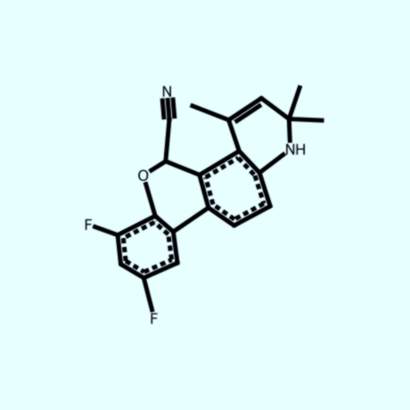 CC1=CC(C)(C)Nc2ccc3c(c21)C(C#N)Oc1c(F)cc(F)cc1-3